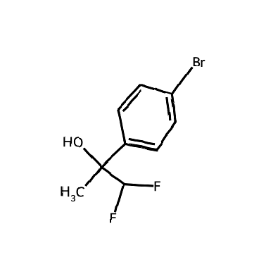 CC(O)(c1ccc(Br)cc1)C(F)F